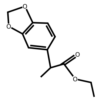 CCOC(=O)C(C)c1ccc2c(c1)OCO2